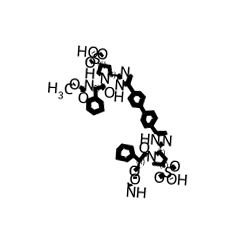 COC(=O)N[C@H](C(=O)N1C[C@@H](S(=O)(=O)O)C[C@H]1c1ncc(-c2ccc(-c3ccc(-c4cnc([C@@H]5C[C@H](S(=O)(=O)O)CN5C(=O)[C@@H](COOC=N)c5ccccc5)[nH]4)cc3)cc2)[nH]1)c1ccccc1